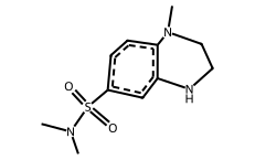 CN1CCNc2cc(S(=O)(=O)N(C)C)ccc21